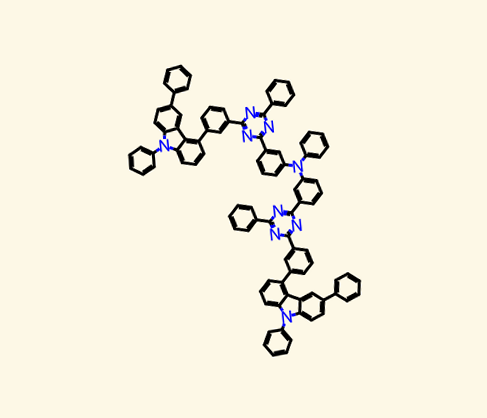 c1ccc(-c2ccc3c(c2)c2c(-c4cccc(-c5nc(-c6ccccc6)nc(-c6cccc(N(c7ccccc7)c7cccc(-c8nc(-c9ccccc9)nc(-c9cccc(-c%10cccc%11c%10c%10cc(-c%12ccccc%12)ccc%10n%11-c%10ccccc%10)c9)n8)c7)c6)n5)c4)cccc2n3-c2ccccc2)cc1